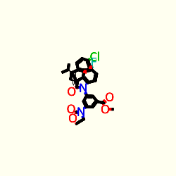 COC(=O)c1cc(N2CCOC2=O)cc(N2C(=O)[C@@]3(C[C@]3(c3ccc(Cl)cc3)C(C)C)c3cc(F)ccc32)c1